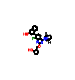 Oc1cc(-c2ccc3c(N4C[C@H]5CC[C@@H](C4)N5)nc(OCC4CCCC4O)nc3c2F)c2ccccc2c1